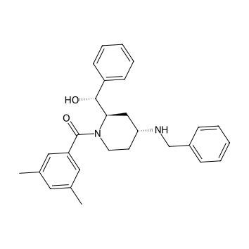 Cc1cc(C)cc(C(=O)N2CC[C@@H](NCc3ccccc3)C[C@@H]2[C@H](O)c2ccccc2)c1